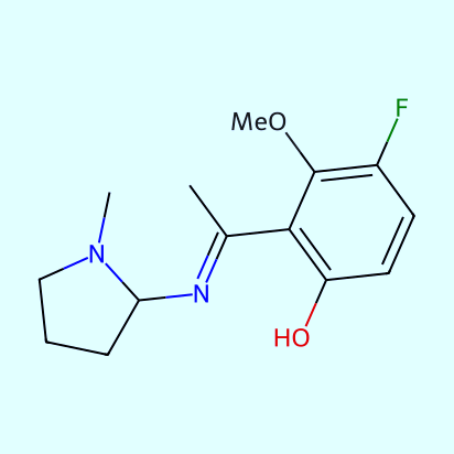 COc1c(F)ccc(O)c1/C(C)=N/C1CCCN1C